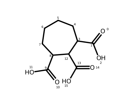 O=C(O)C1CCCCC(C(=O)O)C1C(=O)O